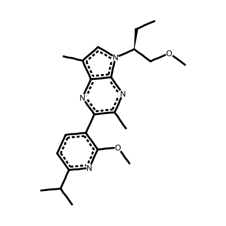 CC[C@@H](COC)n1cc(C)c2nc(-c3ccc(C(C)C)nc3OC)c(C)nc21